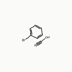 Brc1ccccc1.N#CO